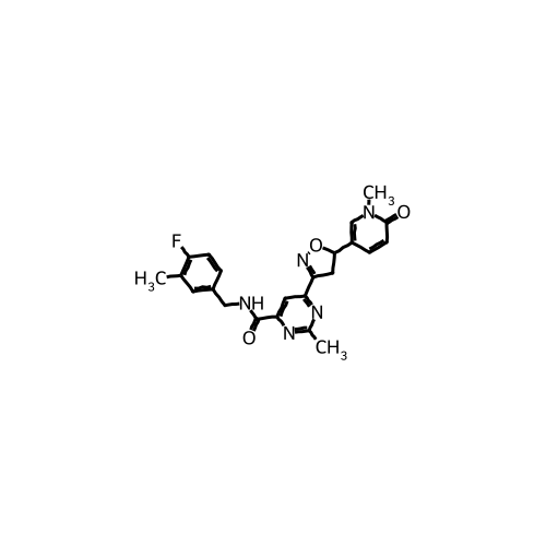 Cc1nc(C(=O)NCc2ccc(F)c(C)c2)cc(C2=NOC(c3ccc(=O)n(C)c3)C2)n1